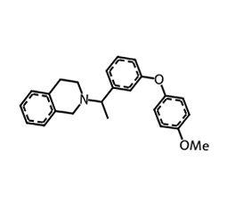 COc1ccc(Oc2cccc(C(C)N3CCc4ccccc4C3)c2)cc1